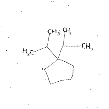 CC(C)C1(C(C)C)[C]CCC1